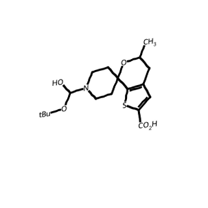 CC1Cc2cc(C(=O)O)sc2C2(CCN(C(O)OC(C)(C)C)CC2)O1